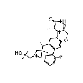 C[C@@H]1C(=O)NN=C2COc3cc(-c4ccccc4F)c([C@@H](C)C4(C)CN(CC(C)(C)O)C4)cc3N21